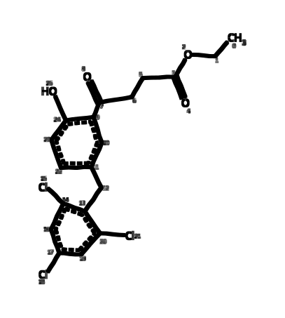 CCOC(=O)CCC(=O)c1cc(Cc2c(Cl)cc(Cl)cc2Cl)ccc1O